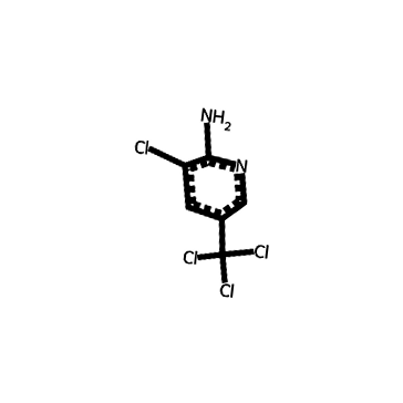 Nc1ncc(C(Cl)(Cl)Cl)cc1Cl